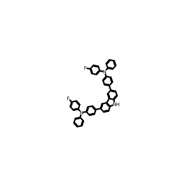 Fc1ccc(N(c2ccccc2)c2ccc(-c3ccc4[nH]c5ccc(-c6ccc(N(c7ccccc7)c7ccc(F)cc7)cc6)cc5c4c3)cc2)cc1